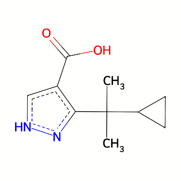 CC(C)(c1n[nH]cc1C(=O)O)C1CC1